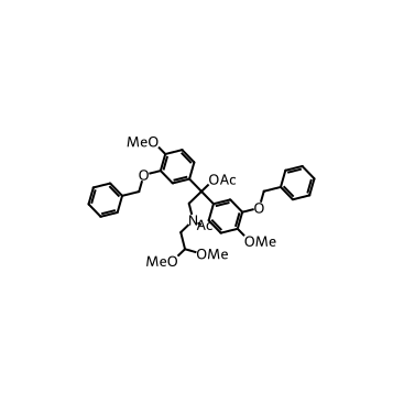 COc1ccc(C(CN(CC(OC)OC)C(C)=O)(OC(C)=O)c2ccc(OC)c(OCc3ccccc3)c2)cc1OCc1ccccc1